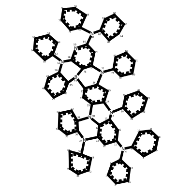 c1ccc(N(c2ccccc2)c2cc3c4c(c2)N(c2ccccc2)c2cc5c(cc2N4c2ccccc2N3c2ccccc2)B2c3ccccc3N(c3ccccc3)c3nc(N(c4ccccc4)c4ccccc4)cc(c32)N5c2ccccc2)cc1